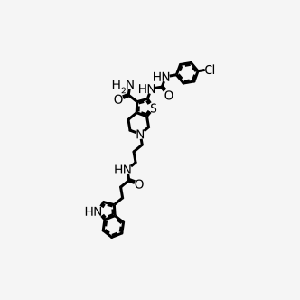 NC(=O)c1c(NC(=O)Nc2ccc(Cl)cc2)sc2c1CCN(CCCNC(=O)CCc1c[nH]c3ccccc13)C2